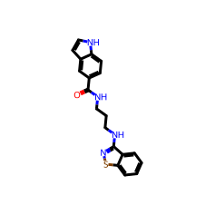 O=C(NCCCNc1nsc2ccccc12)c1ccc2[nH]ccc2c1